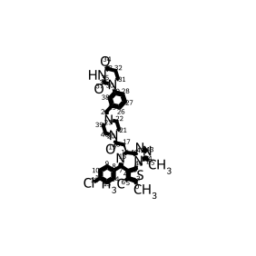 Cc1sc2c(c1C)C(c1ccc(Cl)cc1)=N[C@@H](CC(=O)N1CCN(Cc3cccc(N4CCC(=O)NC4=O)c3)CC1)c1nnc(C)n1-2